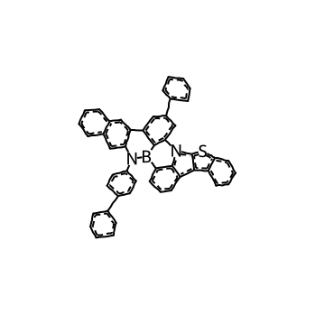 c1ccc(-c2ccc(N3B4c5c(cc(-c6ccccc6)cc5-n5c6sc7ccccc7c6c6cccc4c65)-c4cc5ccccc5cc43)cc2)cc1